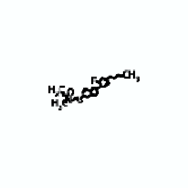 C=CC(=O)N(C)CCOc1ccc2cc(-c3ccc(CCCCC)cc3F)ccc2c1